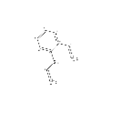 C=CSc1ccccc1C=C